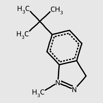 C[N+]1=NCc2ccc(C(C)(C)C)cc21